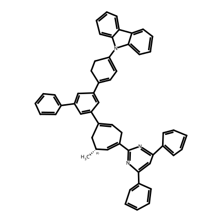 C[C@H]1C=C(c2nc(-c3ccccc3)cc(-c3ccccc3)n2)CC=C(c2cc(C3=CC=C(n4c5ccccc5c5ccccc54)CC3)cc(-c3ccccc3)c2)C1